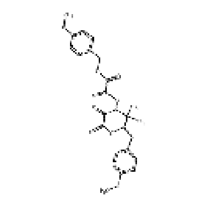 COc1ccc(COC(=O)C(=O)OC2C(=O)C(=O)OC(Cc3ccc(OC)cc3)C2(C)C)cc1